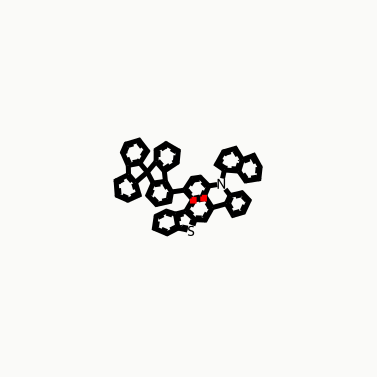 c1ccc(N(c2ccc(-c3cccc4c3-c3ccccc3C43c4ccccc4-c4ccccc43)cc2)c2cccc3ccccc23)c(-c2ccc3c(c2)sc2ccccc23)c1